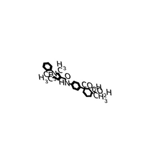 Cc1cc(C(=O)Nc2ccc(C3(C(=O)O)C=CCC(C)(C(=O)O)C3)cc2)c(C)n1-c1ccccc1C(F)(F)F